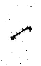 O=C(CCCCC(=O)ON1C(=O)CCC1=O)OCCOCCOC(=O)CCCCC(=O)ON1C(=O)CCC1=O